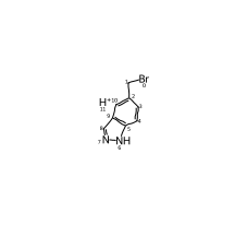 BrCc1ccc2[nH]ncc2c1.[H+]